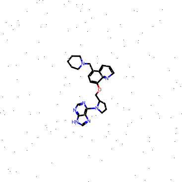 c1cnc2c(OCC3CCCN3c3ncnc4[nH]cnc34)ccc(CN3CCCCC3)c2c1